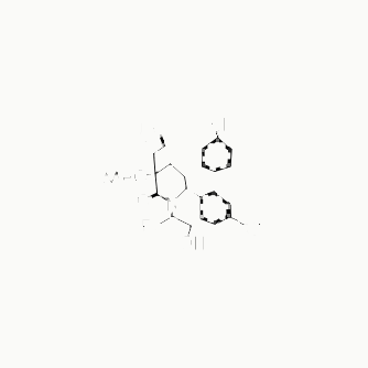 C=CC[C@@]1(OC)C[C@H](c2cccc(Cl)c2)[C@@H](c2ccc(Cl)cc2)N(C(CC)CO)C1=O